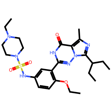 CCOc1ccc(NS(=O)(=O)N2CCN(CC)CC2)cc1-c1nn2c(C(CC)CC)nc(C)c2c(=O)[nH]1